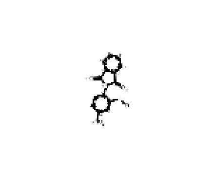 CCOc1cc([N+](=O)[O-])ccc1N1C(=O)c2ccccc2C1=O